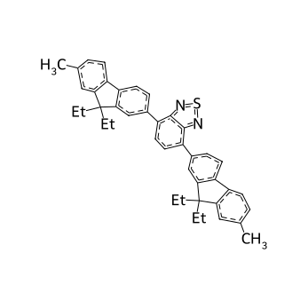 CCC1(CC)c2cc(C)ccc2-c2ccc(-c3ccc(-c4ccc5c(c4)C(CC)(CC)c4cc(C)ccc4-5)c4nsnc34)cc21